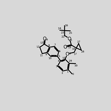 Cc1ccc(-c2ccc3c(c2)CCC3=O)c(OCC2(C(=O)OCC(C)(C)C)CC2)c1C